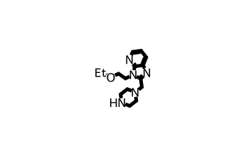 CCOCCn1c(CN2CCNCC2)nc2cccnc21